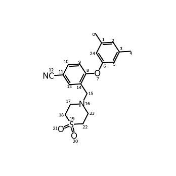 Cc1cc(C)cc(Oc2ccc(C#N)cc2CN2CCS(=O)(=O)CC2)c1